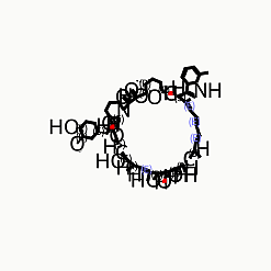 CO[C@H]1[C@@H](O)[C@H](C)C[C@H](C)/C=C/C=C/C=C(\C)[C@@H](C2=CNC3C(C)=CC=CC23)C[C@@H]2CC[C@@H](C)[C@@](O)(O2)C(=O)C(=O)N2CCCC3[C@H]2C(=O)O[C@@H](C[C@H](O)[C@H](C)/C=C(\C)[C@H]1O)[C@H]3C[C@@H]1CC[C@@H](O)[C@H](OC)C1